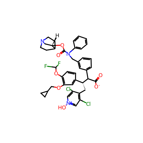 O=C([O-])C(c1cccc(CN(C(=O)O[C@H]2CN3CCC2CC3)c2ccccc2)c1)[C@H](Cc1c(Cl)c[n+](O)cc1Cl)c1ccc(OC(F)F)c(OCC2CC2)c1